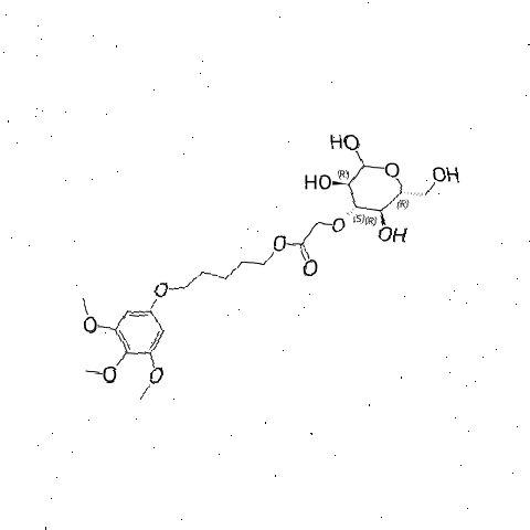 COc1cc(OCCCCCOC(=O)CO[C@H]2[C@H](O)[C@@H](CO)OC(O)[C@@H]2O)cc(OC)c1OC